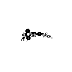 CCCn1nnc2c1-c1ccccc1C(=O)N(CC1CC(c3ccc(COC(=O)NC)cc3)=NO1)c1ccccc1-2